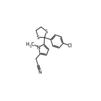 Cn1c(CC#N)ccc1C1(c2ccc(Cl)cc2)SCCS1